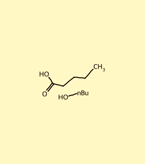 CCCCC(=O)O.CCCCO